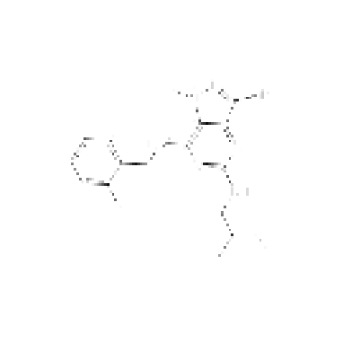 CC(=O)c1ccccc1CNc1nc(NCC(C)N)nc2c(C(C)C)nn(C(C)C)c12